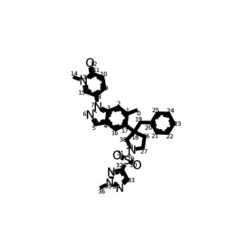 Cc1cc2c(cnn2-c2ccc(=O)n(C)c2)cc1C1(Cc2ccccc2)CCN(S(=O)(=O)c2cnn(C)n2)C1